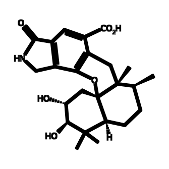 C[C@H]1CC[C@H]2C(C)(C)[C@@H](O)[C@H](O)C[C@]23Oc2c(c(C(=O)O)cc4c2CNC4=O)C[C@]13C